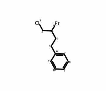 CCC(CCl)CCc1ccccc1